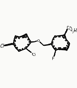 O=C(O)c1ccc(F)c(COc2ccc(Cl)cc2Cl)c1